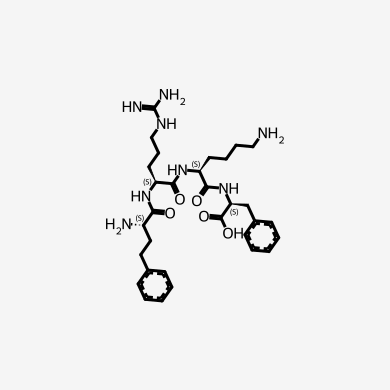 N=C(N)NCCC[C@H](NC(=O)[C@@H](N)CCc1ccccc1)C(=O)N[C@@H](CCCCN)C(=O)N[C@@H](Cc1ccccc1)C(=O)O